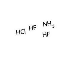 Cl.F.F.N